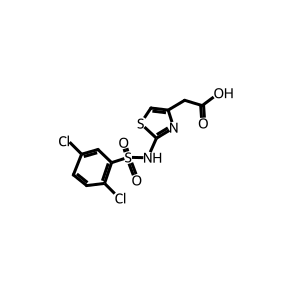 O=C(O)Cc1csc(NS(=O)(=O)c2cc(Cl)ccc2Cl)n1